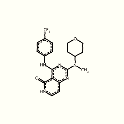 CN(c1nc(Nc2ccc(C(F)(F)F)cc2)c2c(=O)[nH]ccc2n1)C1CCOCC1